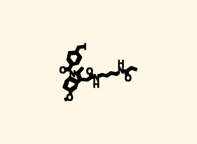 CCC(=O)NCCCCNC(=O)Cc1c(C)n(C(=O)c2ccc(CI)cc2)c2ccc(OC)cc12